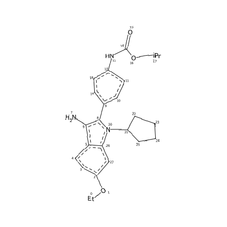 CCOc1ccc2c(N)c(-c3ccc(NC(=O)OC(C)C)cc3)n(C3CCCC3)c2c1